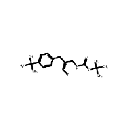 CC(C)(C)OC(=O)NCC(=CF)Cc1ccc(C(C)(C)C)cc1